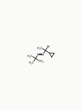 CC(C)(C)/N=N/C(C)(Br)C1CC1